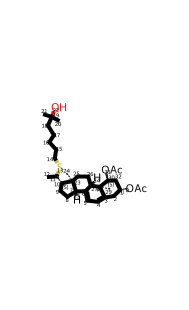 CC(=O)O[C@@H]1CC2=CC=C3[C@@H]4CC[C@H](C(C)SCCCCCC(C)(C)O)[C@@]4(C)CC[C@@H]3[C@@]2(C)[C@@H](OC(C)=O)C1